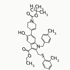 CCOC(=O)c1c(CSc2ccc(F)cc2C)n(Cc2ccc(C)cc2)c2cc(C3=CCN(C(=O)OC(C)(C)C)CC3)c(O)cc12